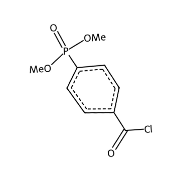 COP(=O)(OC)c1ccc(C(=O)Cl)cc1